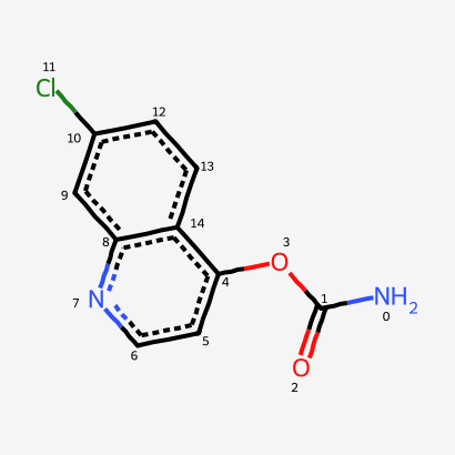 NC(=O)Oc1ccnc2cc(Cl)ccc12